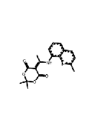 CC(Nc1cccc2ccc(C)nc12)=C1C(=O)OC(C)(C)OC1=O